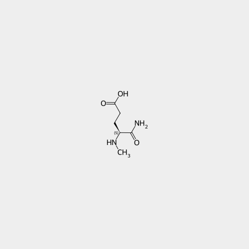 CN[C@@H](CCC(=O)O)C(N)=O